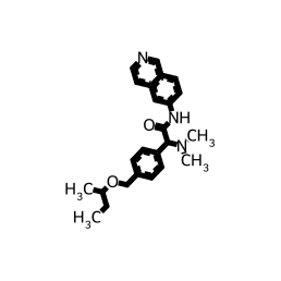 CCC(C)OCc1ccc(C(C(=O)Nc2ccc3cnccc3c2)N(C)C)cc1